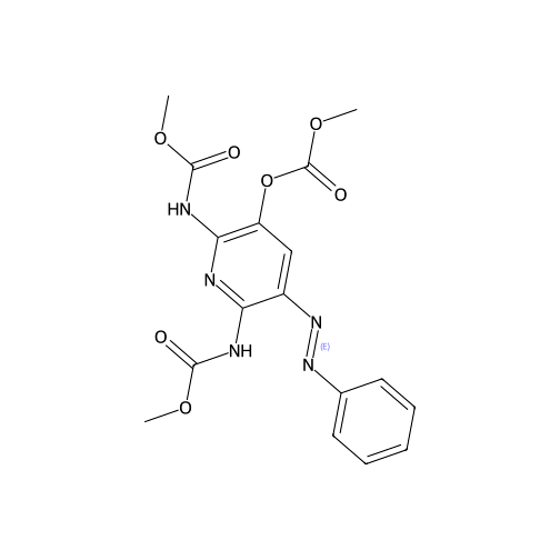 COC(=O)Nc1nc(NC(=O)OC)c(OC(=O)OC)cc1/N=N/c1ccccc1